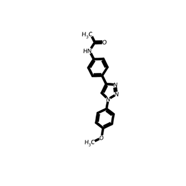 COc1ccc(-n2cc(-c3ccc(NC(C)=O)cc3)nn2)cc1